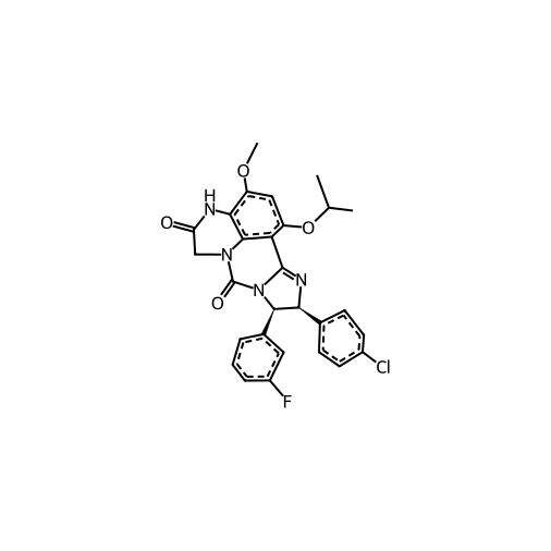 COc1cc(OC(C)C)c2c3c1NC(=O)CN3C(=O)N1C2=N[C@@H](c2ccc(Cl)cc2)[C@H]1c1cccc(F)c1